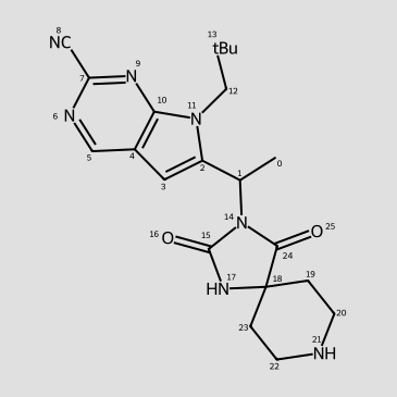 CC(c1cc2cnc(C#N)nc2n1CC(C)(C)C)N1C(=O)NC2(CCNCC2)C1=O